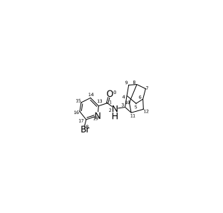 O=C(NC1C2CC3CC(C2)CC1C3)c1cccc(Br)n1